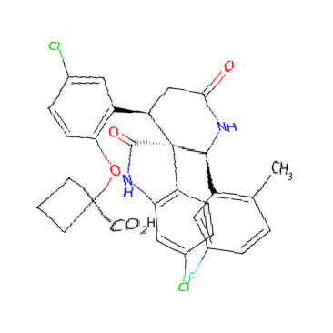 Cc1ccc(F)cc1[C@@H]1NC(=O)C[C@H](c2cc(Cl)ccc2OC2(C(=O)O)CCC2)[C@@]12C(=O)Nc1cc(Cl)ccc12